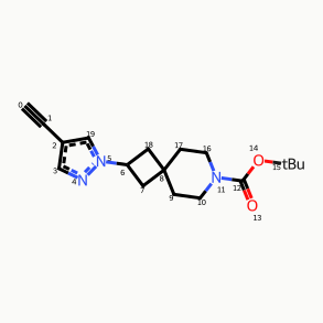 C#Cc1cnn(C2CC3(CCN(C(=O)OC(C)(C)C)CC3)C2)c1